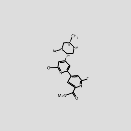 CNC(=O)c1cc(-c2cc([C@H]3CN[C@H](C)CN3C(C)=O)cc(Cl)n2)cc(F)n1